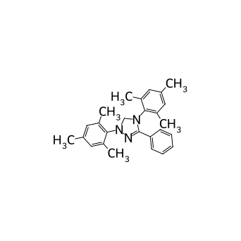 Cc1cc(C)c(N2CN(c3c(C)cc(C)cc3C)C(c3ccccc3)=N2)c(C)c1